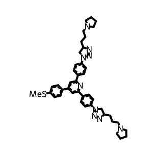 CSc1ccc(-c2cc(-c3ccc(N4CC(CCCN5CCCC5)N=N4)cc3)nc(-c3ccc(N4CC(CCCN5CCCC5)N=N4)cc3)c2)cc1